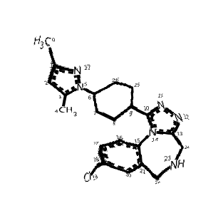 Cc1cc(C)n(C2CCC(c3nnc4n3-c3ccc(Cl)cc3CNC4)CC2)n1